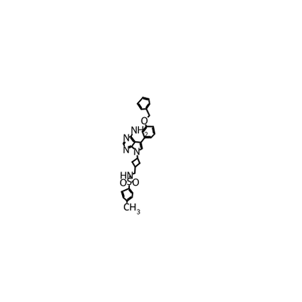 Cc1ccc(S(=O)(=O)NCC2CC(n3cc(-c4cccc(OCc5ccccc5)c4)c4c(N)ncnc43)C2)cc1